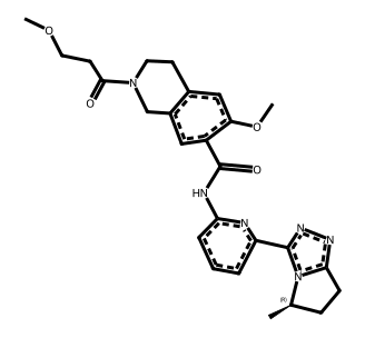 COCCC(=O)N1CCc2cc(OC)c(C(=O)Nc3cccc(-c4nnc5n4[C@H](C)CC5)n3)cc2C1